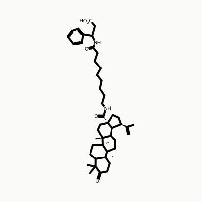 C=C(C)[C@@H]1CC[C@]2(C(=O)NCCCCCCCCC(=O)NC(CC(=O)O)c3ccccc3)CC[C@]3(C)C(CCC4[C@@]5(C)CCC(=O)C(C)(C)C5CC[C@]43C)C12